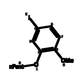 CCCCCOc1cc(I)ccc1OC